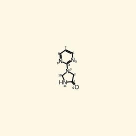 O=C1CN(c2ncccn2)CN1